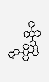 c1ccc(-c2c3ccccc3c(-c3ccc4c(c3)oc3cccc(-c5c6ccccc6c(-c6ccc7cccnc7c6)c6ccccc56)c34)c3ccccc23)cc1